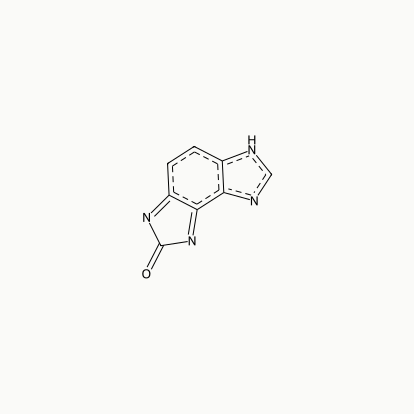 O=C1N=c2ccc3[nH]cnc3c2=N1